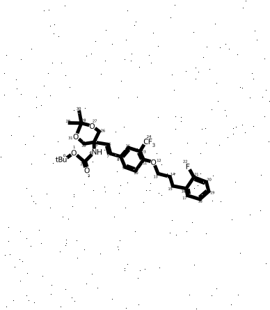 CC(C)(C)OC(=O)NC1(C=Cc2ccc(OCCCc3ccccc3F)c(C(F)(F)F)c2)COC(C)(C)OC1